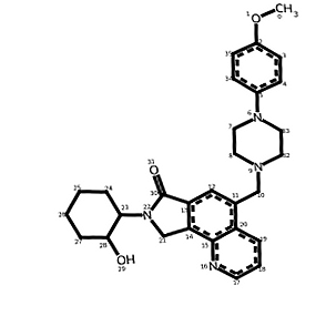 COc1ccc(N2CCN(Cc3cc4c(c5ncccc35)CN(C3CCCCC3O)C4=O)CC2)cc1